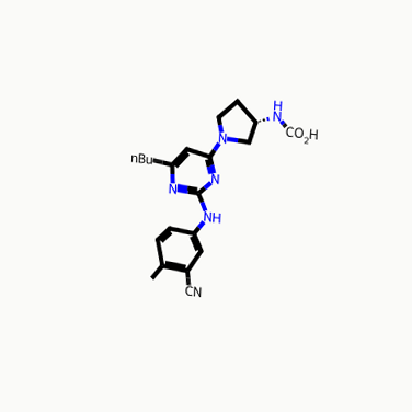 CCCCc1cc(N2CC[C@H](NC(=O)O)C2)nc(Nc2ccc(C)c(C#N)c2)n1